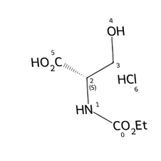 CCOC(=O)N[C@@H](CO)C(=O)O.Cl